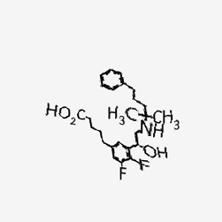 CC(C)(CCCc1ccccc1)NC[C@@H](O)c1cc(CCCCC(=O)O)cc(F)c1F